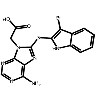 Nc1ncnc2c1nc(Sc1[nH]c3ccccc3c1Br)n2CC(=O)O